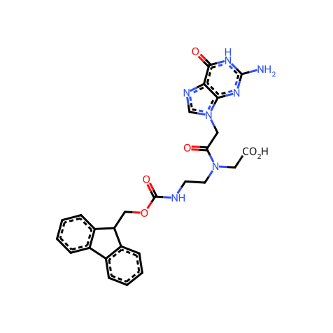 Nc1nc2c(ncn2CC(=O)N(CCNC(=O)OCC2c3ccccc3-c3ccccc32)CC(=O)O)c(=O)[nH]1